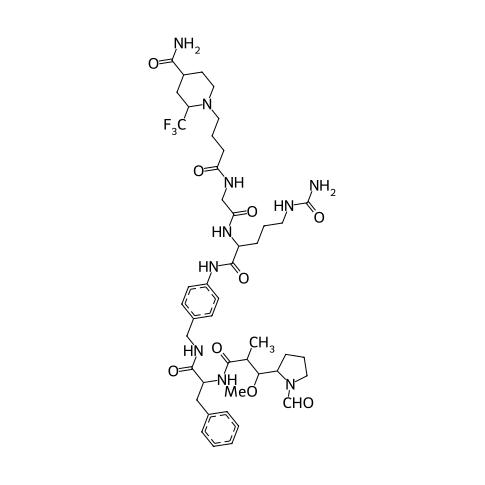 COC(C(C)C(=O)NC(Cc1ccccc1)C(=O)NCc1ccc(NC(=O)C(CCCNC(N)=O)NC(=O)CNC(=O)CCCN2CCC(C(N)=O)CC2C(F)(F)F)cc1)C1CCCN1C=O